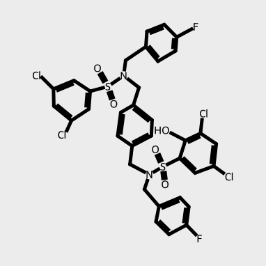 O=S(=O)(c1cc(Cl)cc(Cl)c1)N(Cc1ccc(F)cc1)Cc1ccc(CN(Cc2ccc(F)cc2)S(=O)(=O)c2cc(Cl)cc(Cl)c2O)cc1